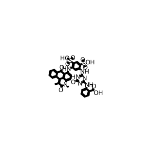 Cc1c2c3c(c(Nc4cc(Nc5nc(O)nc(Nc6ccccc6C(=O)O)n5)c(S(=O)(=O)O)cc4S(=O)(=O)O)ccc3n(C)c1=O)C(=O)c1ccccc1-2